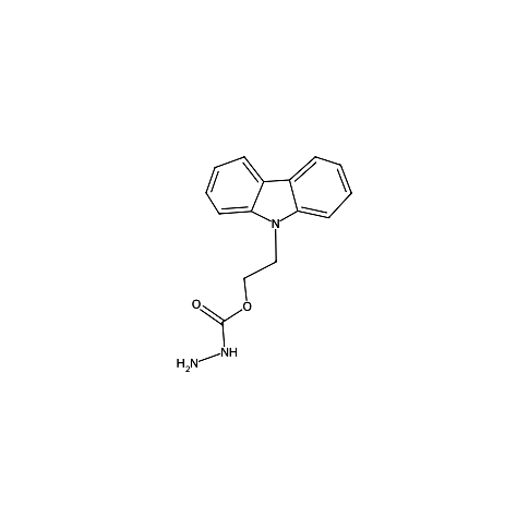 NNC(=O)OCCn1c2ccccc2c2ccccc21